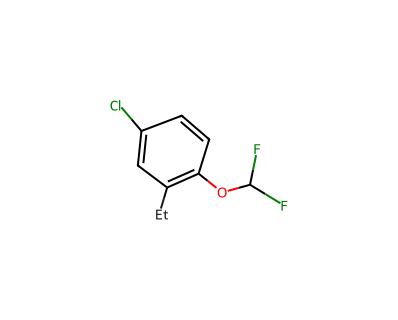 CCc1cc(Cl)ccc1OC(F)F